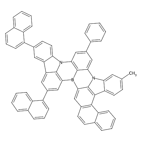 Cc1ccc2c3c4c(ccc5ccccc54)cc4c3n(c2c1)-c1cc(-c2ccccc2)cc2c1B4c1cc(-c3cccc4ccccc34)cc3c4cc(-c5cccc6ccccc56)ccc4n-2c13